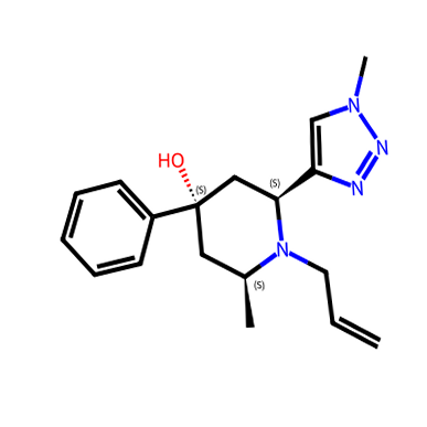 C=CCN1[C@@H](C)C[C@@](O)(c2ccccc2)C[C@H]1c1cn(C)nn1